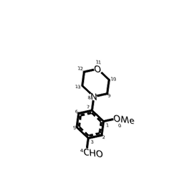 COc1cc(C=O)ccc1N1CCOCC1